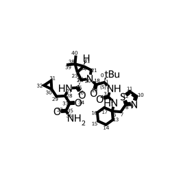 CC(C)(C)[C@H](NC(=O)NC1(Cc2nccs2)CCCCC1)C(=O)N1C[C@H]2C([C@H]1C(=O)NC(CC1CC1)C(=O)C(N)=O)C2(C)C